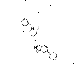 IC1CC(CCc2noc3cc(N4CCOCC4)ccc23)CCN1Cc1ccccc1